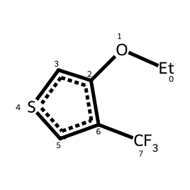 CCOc1cs[c]c1C(F)(F)F